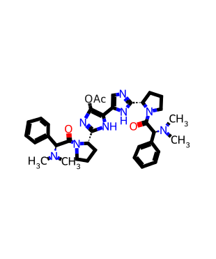 CC(=O)Oc1nc([C@@H]2CCCN2C(=O)[C@@H](c2ccccc2)N(C)C)[nH]c1-c1cnc([C@@H]2CCCN2C(=O)[C@@H](c2ccccc2)N(C)C)[nH]1